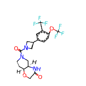 O=C1CO[C@H]2CCN(C(=O)N3CC(c4ccc(OC(F)(F)F)c(C(F)(F)F)c4)C3)C[C@H]2N1